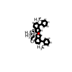 CC[CH]=[Hf]([CH3])([CH3])([CH3])([CH]1C=Cc2c(-c3ccccc3C)cccc21)[CH]1C=Cc2c(-c3ccccc3C)cccc21